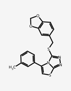 Cc1cccc(-c2csc3nnc(SCc4ccc5c(c4)OCO5)n23)c1